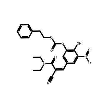 CCN(CC)C(=O)C(C#N)=Cc1cc(OC(=O)OCCc2ccccc2)c(O)c([N+](=O)[O-])c1